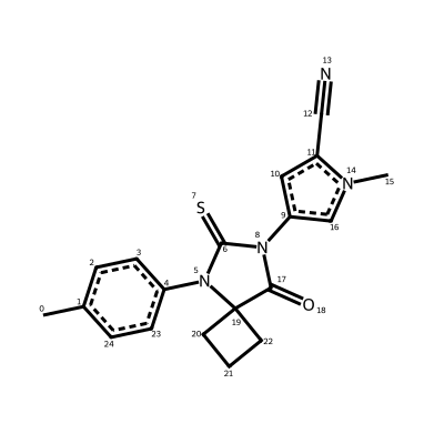 Cc1ccc(N2C(=S)N(c3cc(C#N)n(C)c3)C(=O)C23CCC3)cc1